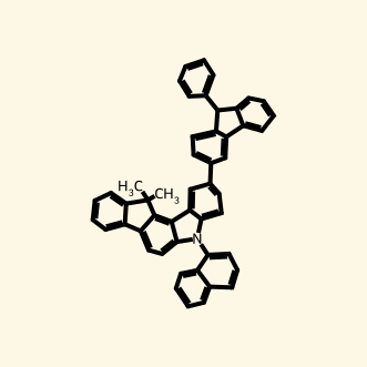 CC1(C)c2ccccc2-c2ccc3c(c21)c1cc(-c2ccc4c(c2)-c2ccccc2C4c2ccccc2)ccc1n3-c1cccc2ccccc12